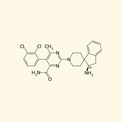 Cc1nc(N2CCC3(CC2)c2ccccc2C[C@H]3N)nc(C(N)=O)c1-c1cccc(Cl)c1Cl